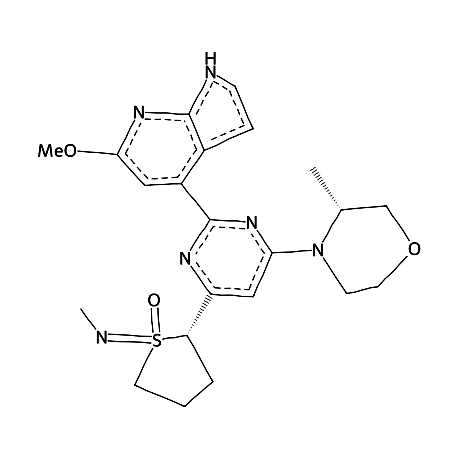 CN=S1(=O)CCC[C@H]1c1cc(N2CCOC[C@H]2C)nc(-c2cc(OC)nc3[nH]ccc23)n1